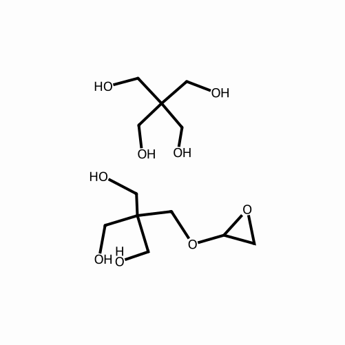 OCC(CO)(CO)CO.OCC(CO)(CO)COC1CO1